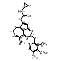 COc1c(C)cnc(Cn2nc3cc(CC(=O)NC4CC4)c4c-3c(n2)C(N)=NSC4)c1C